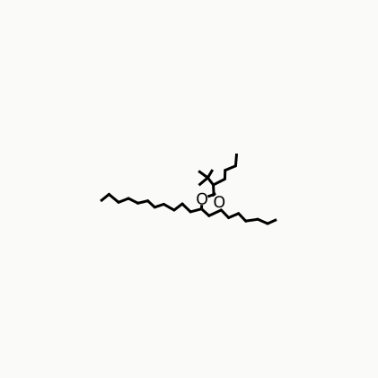 CCCCCCCCCCCC(CCCCCCCC)OC(=O)C(CCCC)C(C)(C)C